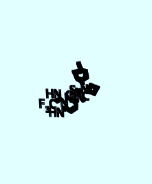 Cc1ccc(N(C(=S)N(C)c2ccc(=N)n(C(=N)C(F)(F)F)n2)C2(C=O)CCC2)cc1